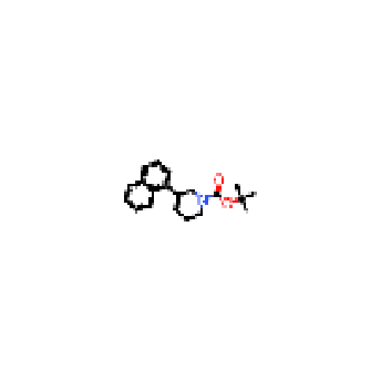 CC(C)(C)OC(=O)N1CCC=C(c2cccc3ccccc23)C1